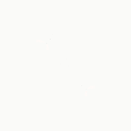 CC(C)(CCCCc1ccc(CCCCC2(C(=O)O)CC2)cc1)C(=O)O